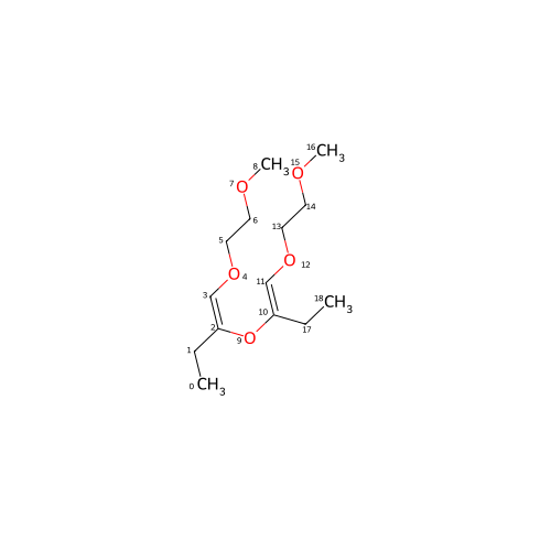 CCC(=COCCOC)OC(=COCCOC)CC